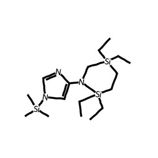 CC[Si]1(CC)CC[Si](CC)(CC)N(c2cn([Si](C)(C)C)cn2)C1